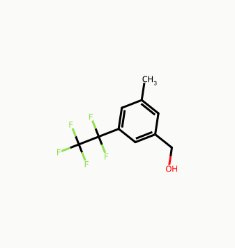 Cc1cc(CO)cc(C(F)(F)C(F)(F)F)c1